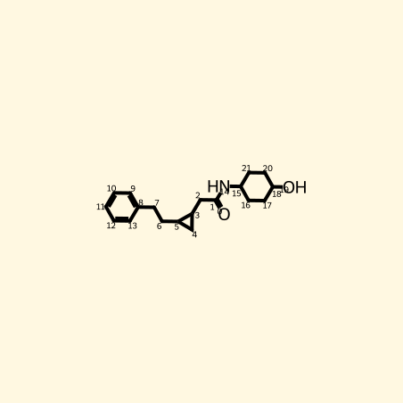 O=C(CC1CC1CCc1ccccc1)NC1CCC(O)CC1